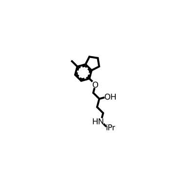 Cc1ccc(OCC(O)CCNC(C)C)c2c1CCC2